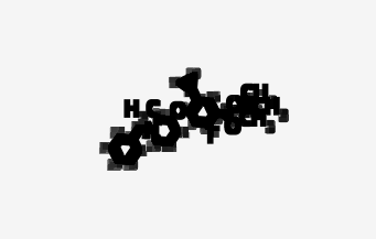 C[C@@H]1[C@H](Oc2cc(F)c(C(=O)OC(C)(C)C)cc2C2CC2)CCCN1Cc1ccccc1